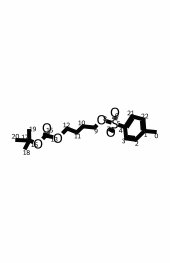 Cc1ccc(S(=O)(=O)OCCCCOC(=O)OC(C)(C)C)cc1